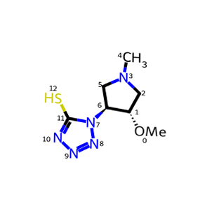 CO[C@H]1CN(C)C[C@@H]1n1nnnc1S